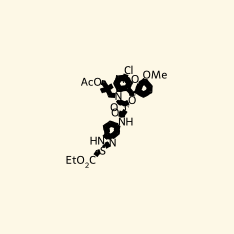 CCOC(=O)CSc1nc2cc(NC(=O)C[C@H]3O[C@H](c4cccc(OC)c4OC)c4cc(Cl)ccc4N(CC(C)(C)COC(C)=O)C3=O)ccc2[nH]1